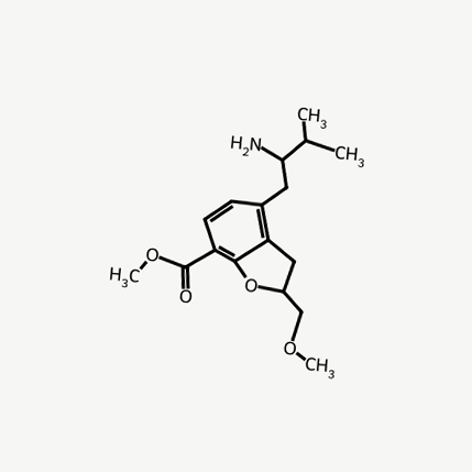 COCC1Cc2c(CC(N)C(C)C)ccc(C(=O)OC)c2O1